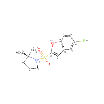 C[C@@]1(C(=O)O)CCCN1S(=O)(=O)c1cc2cc(F)ccc2o1